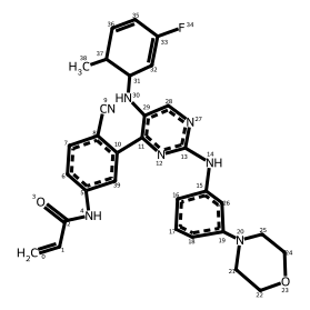 C=CC(=O)Nc1ccc(C#N)c(-c2nc(Nc3cccc(N4CCOCC4)c3)ncc2NC2C=C(F)C=CC2C)c1